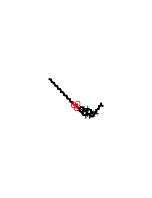 CCCCCCCCCCCCCCCCOC(=O)O[C@H]1CC[C@@]2(C)C(=CC[C@H]3[C@@H]4CC[C@H]([C@H](C)CCCC(C)C)[C@@]4(C)CC[C@@H]32)C1